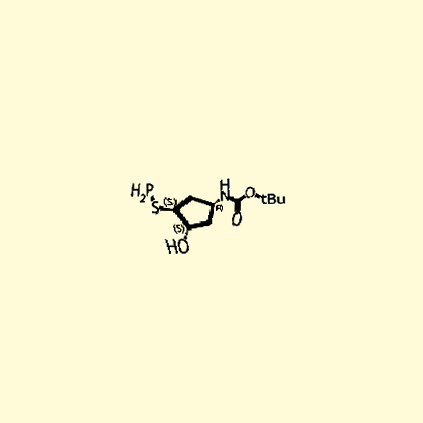 CC(C)(C)OC(=O)N[C@H]1C[C@H](SP)[C@@H](O)C1